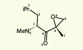 CN[C@H](CC(C)C)C(=O)[C@@]1(C)CO1